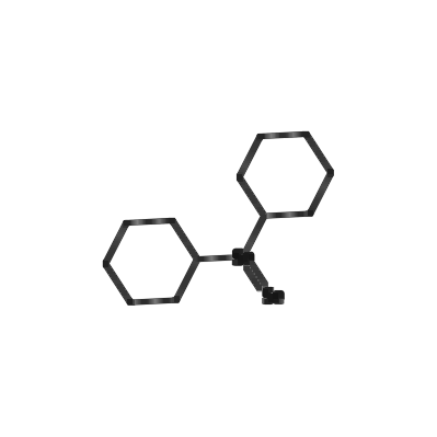 [Se]=[Se](C1CCCCC1)C1CCCCC1